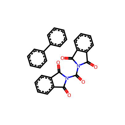 O=C1c2ccccc2C(=O)N1C(=O)N1C(=O)c2ccccc2C1=O.c1ccc(-c2ccccc2)cc1